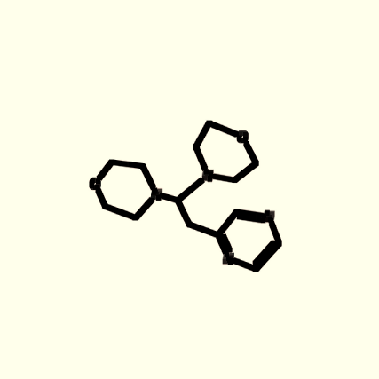 c1cnc(CC(N2CCOCC2)N2CCOCC2)cn1